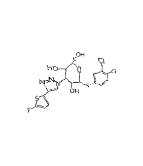 OCC1OC(Sc2ccc(Cl)c(Cl)c2)C(O)C(n2cc(-c3ccc(F)s3)nn2)C1O